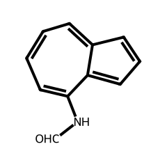 O=CNc1ccccc2cccc1-2